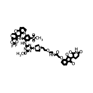 COc1nc(Nc2cc(S(C)(=O)=O)ccc2N[C@@H](c2cccc3c2OC(F)(F)O3)c2ncccc2Cl)nc(N2CCN(CCOCCNC(=O)COc3cccc4c3C(=O)C(C3CCC(=O)NC3=O)C4=O)CC2)n1